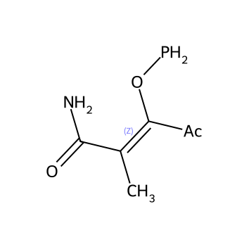 CC(=O)/C(OP)=C(\C)C(N)=O